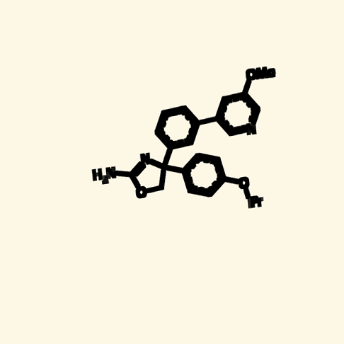 COc1cncc(-c2cccc(C3(c4ccc(OC(C)C)cc4)COC(N)=N3)c2)c1